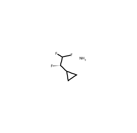 FC(F)[C@@H](F)C1CC1.N